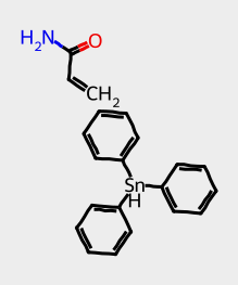 C=CC(N)=O.c1cc[c]([SnH]([c]2ccccc2)[c]2ccccc2)cc1